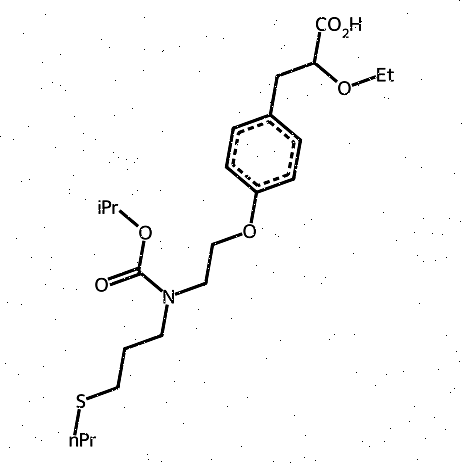 CCCSCCCN(CCOc1ccc(CC(OCC)C(=O)O)cc1)C(=O)OC(C)C